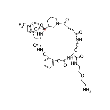 NCCOCCNC(=O)[C@@H]1CCNC(=O)/C=C/C(=O)N2CCC[C@@](Cc3ccc(C(F)(F)F)cc3)(C2)C(=O)N[C@@H](Cc2ccco2)C(=O)NCc2ccccc2CC(=O)N1